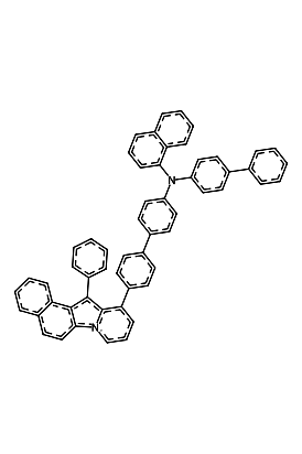 c1ccc(-c2ccc(N(c3ccc(-c4ccc(-c5cccn6c5c(-c5ccccc5)c5c7ccccc7ccc56)cc4)cc3)c3cccc4ccccc34)cc2)cc1